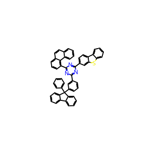 c1ccc(C2(c3cccc(-c4nc(-c5ccc6c(c5)sc5ccccc56)nc(-c5cccc6ccc7ccccc7c56)n4)c3)c3ccccc3-c3ccccc32)cc1